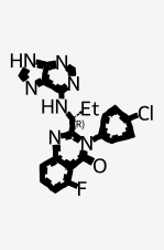 CC[C@@H](Nc1ncnc2[nH]cnc12)c1nc2cccc(F)c2c(=O)n1-c1ccc(Cl)cc1